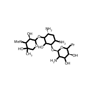 CNC1[C@@H](O)C(OC2C(O)[C@H](O[C@H]3OC(C(C)C)[C@@H](O)C(O)C3N)C(N)C[C@H]2N)OCC1(C)O